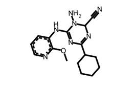 COc1ncccc1NC1=NC(C2CCCCC2)=NC(C#N)N1N